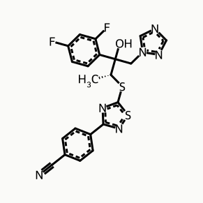 C[C@@H](Sc1nc(-c2ccc(C#N)cc2)ns1)C(O)(Cn1cncn1)c1ccc(F)cc1F